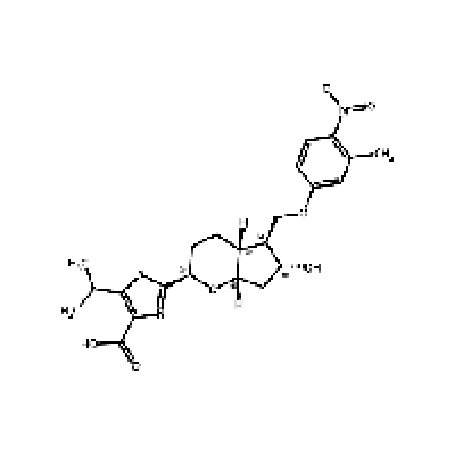 Cc1cc(OC[C@@H]2[C@H]3CC[C@H](c4nc(C(=O)O)c(C(C)C)s4)O[C@H]3C[C@H]2O)ccc1[N+](=O)[O-]